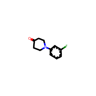 O=C1CCN(c2cccc(F)c2)CC1